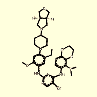 CCc1cc(Nc2ncc(Br)c(Nc3ccc4c(c3P(C)C)OCCO4)n2)c(OC)cc1N1CCC(N2C[C@H]3COC[C@H]3C2)CC1